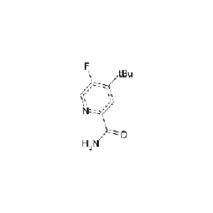 CC(C)(C)c1cc(C(N)=O)ncc1F